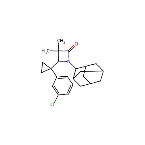 CC1(C)C(=O)N(C2C3CC4CC(C3)CC2C4)C1C1(c2cccc(Cl)c2)CC1